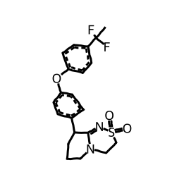 CC(F)(F)c1ccc(Oc2ccc(C3CCCN4CCS(=O)(=O)N=C34)cc2)cc1